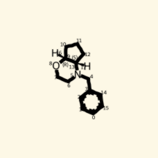 c1ccc(CN2CCO[C@@H]3CCC[C@@H]32)cc1